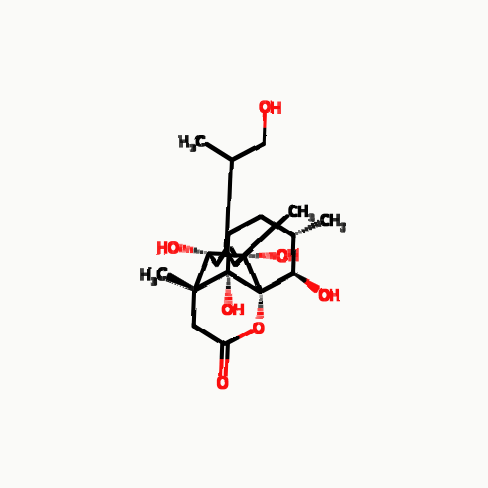 CC1=C(C(C)CO)C[C@@]2(O)[C@@]3(C)CC(=O)O[C@@]4([C@H](O)[C@@H](C)CC[C@]34O)[C@@]12O